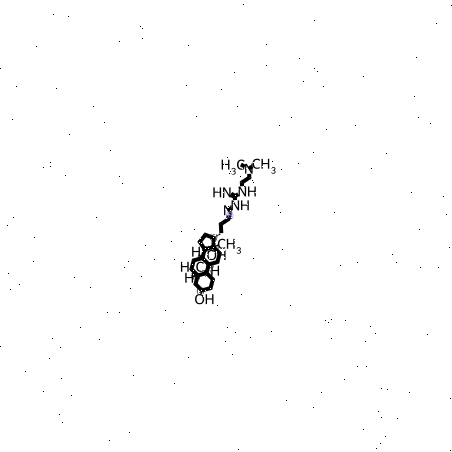 CN(C)CCNC(=N)N/N=C/CC[C@H]1CC[C@]2(O)[C@@H]3CC[C@@H]4C[C@@H](O)CC[C@]4(C)[C@H]3CC[C@]12C